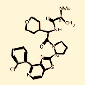 CN[C@@H](C)C(=O)NC(C(=O)N1CCC[C@H]1c1nc2c(-c3ccccc3Cl)nccc2s1)C1CCOCC1